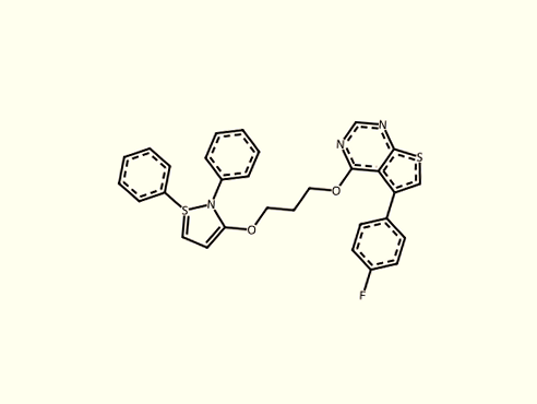 Fc1ccc(-c2csc3ncnc(OCCCOC4=CC=S(c5ccccc5)N4c4ccccc4)c23)cc1